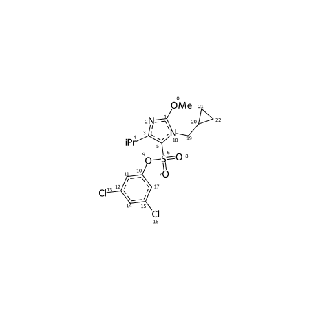 COc1nc(C(C)C)c(S(=O)(=O)Oc2cc(Cl)cc(Cl)c2)n1CC1CC1